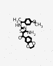 COc1ccc(C(C)Nc2nc(N)c(C(=O)c3ccc4c(c3)OCCO4)s2)cc1